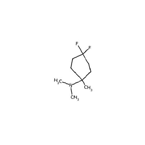 CN(C)C1(C)CCC(F)(F)CC1